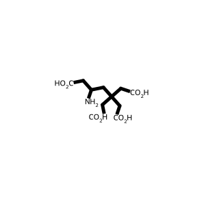 NC(CC(=O)O)CC(CC(=O)O)(CC(=O)O)CC(=O)O